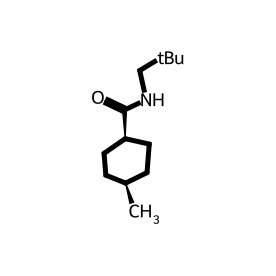 CC(C)(C)CNC(=O)[C@H]1CC[C@@H](C)CC1